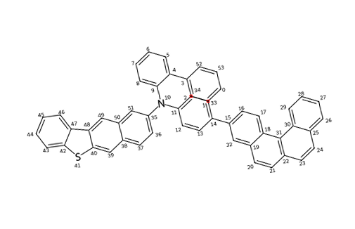 c1ccc(-c2ccccc2N(c2ccc(-c3ccc4c(ccc5ccc6ccccc6c54)c3)cc2)c2ccc3cc4sc5ccccc5c4cc3c2)cc1